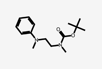 CN(CCN(C)c1ccccc1)C(=O)OC(C)(C)C